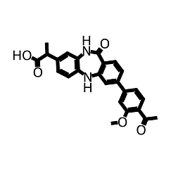 COc1cc(-c2ccc3c(c2)Nc2ccc(C(C)C(=O)O)cc2NC3=O)ccc1C(C)=O